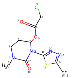 CN1CCC(OC(=O)CCl)N(c2nnc(C(F)(F)F)s2)C1=O